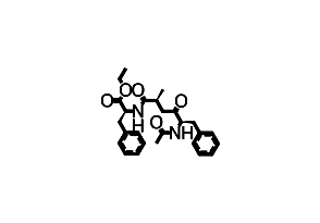 CCOC(=O)[C@H](Cc1ccccc1)NC(=O)[C@@H](C)CC(=O)[C@@H](Cc1ccccc1)NC(C)=O